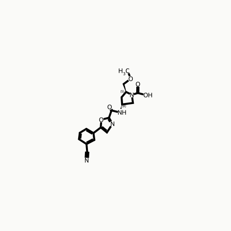 COC[C@@H]1C[C@@H](NC(=O)c2ncc(-c3cccc(C#N)c3)o2)CN1C(=O)O